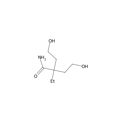 CCC(CCO)(CCO)C(N)=O